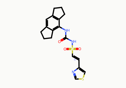 O=C(Nc1c2c(cc3c1CCC3)CCC2)NS(=O)(=O)/C=C/c1cscn1